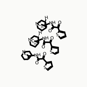 O=C(NC1CN2CCC1CC2)C(=O)c1cccs1.O=C(N[C@@H]1CN2CCC1CC2)C(=O)c1cccs1.O=C(N[C@H]1CN2CCC1CC2)C(=O)c1cccs1